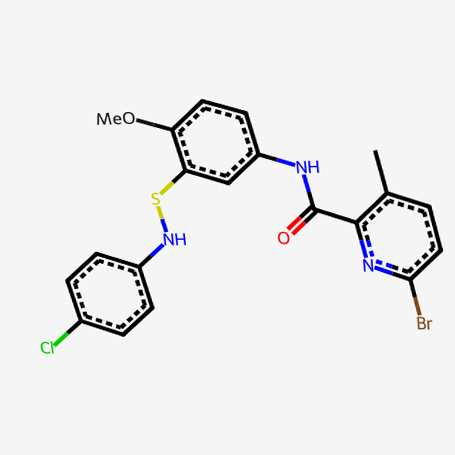 COc1ccc(NC(=O)c2nc(Br)ccc2C)cc1SNc1ccc(Cl)cc1